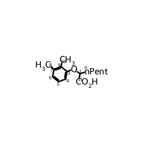 CCCCCC(Oc1cccc(C)c1C)C(=O)O